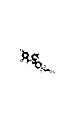 CCCS(=O)(=O)N1CCC(CNC(=O)c2ccc(Cl)cc2Cl)(c2cccc(F)n2)CC1